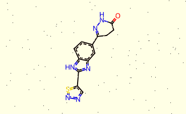 O=C1CCC(c2ccc3[nH]c(-c4cnns4)nc3c2)=NN1